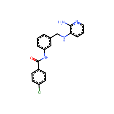 Nc1ncccc1NCc1cccc(NC(=O)c2ccc(Cl)cc2)c1